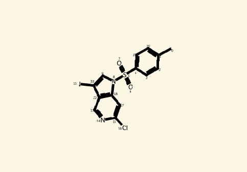 Cc1ccc(S(=O)(=O)n2cc(I)c3cnc(Cl)cc32)cc1